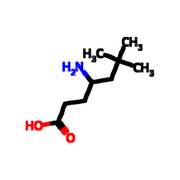 CC(C)(C)CC(N)CCC(=O)O